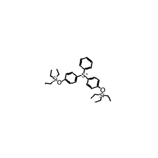 CC[Si](CC)(CC)Oc1ccc([S+](c2ccccc2)c2ccc(O[Si](CC)(CC)CC)cc2)cc1